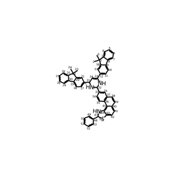 CC1(C)c2ccccc2-c2ccc(C3=CC(c4ccc5c(c4)C(C)(C)c4ccccc4-5)NC(c4ccc5c(ccc6ccc7c(c65)NC(c5ccccc5)S7)c4)N3)cc21